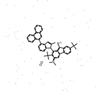 CC1=Cc2c(-c3cc4ccccc4c4ccccc34)cccc2C1c1c(C(C)(C)C)c(=[Si](C)C)cc2c1=[C]([Zr+2])c1cc(C(C)(C)C)ccc1-2.[Cl-].[Cl-]